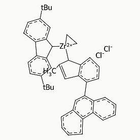 CC1=Cc2c(-c3cc4ccccc4c4ccccc34)cccc2[CH]1[Zr+2]1([CH]2c3cc(C(C)(C)C)ccc3-c3ccc(C(C)(C)C)cc32)[CH2][CH2]1.[Cl-].[Cl-]